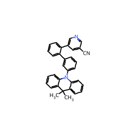 CC1(C)c2ccccc2N(c2cccc(-c3ccccc3-c3cncc(C#N)c3)c2)c2ccccc21